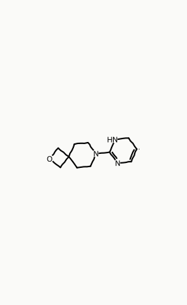 [C]1=CN=C(N2CCC3(CC2)COC3)NC1